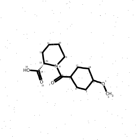 COC1CCC(C(=O)N2CCCC[C@H]2C(=O)O)CC1